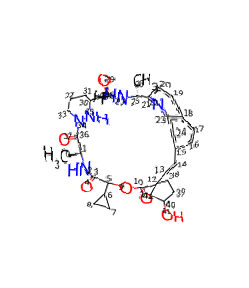 C[C@@H]1NC(=O)C(C2CC2)OC(=O)C2(/C=C/c3ccc4ccc(nc4c3)[C@@H](C)NC(=O)[C@@H]3CCCN(N3)C1=O)CCC(O)C2